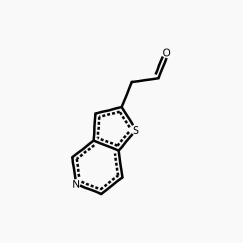 O=CCc1cc2cnccc2s1